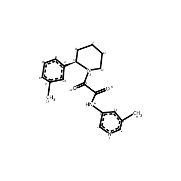 Cc1cncc(NC(=O)C(=O)N2CCCC[C@@H]2c2cccc(C)c2)c1